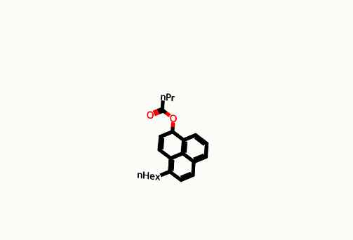 CCCCCCc1ccc2cccc3c2c1C=CC3OC(=O)CCC